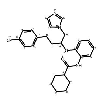 O=C(Nc1ccccc1OC(CCc1ccc(Cl)cc1)Cn1ccnc1)C1CCCCC1